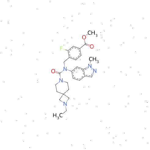 CCN1CC2(CCN(C(=O)N(Cc3ccc(C(=O)OC)cc3F)c3ccc4cnn(C)c4c3)CC2)C1